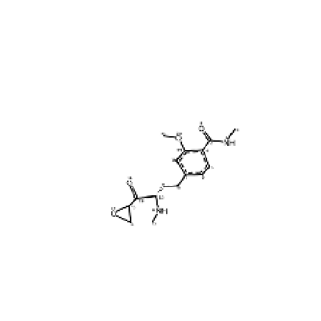 CNC(=O)c1ccc(CC[C@H](NC)C(=O)C2CO2)cc1OC